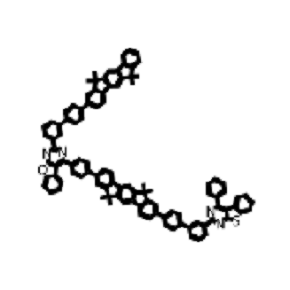 CC1(C)c2ccccc2-c2cc3c(cc21)-c1ccc(-c2ccc(-c4cccc(-c5nc(-c6ccc(-c7ccc8c(c7)C(C)(C)c7cc9c(cc7-8)C(C)(C)c7cc(-c8ccc(-c%10cccc(-c%11nc(-c%12ccccc%12)c%12c(n%11)sc%11ccccc%11%12)c%10)cc8)ccc7-9)cc6)c6c(n5)oc5ccccc56)c4)cc2)cc1C3(C)C